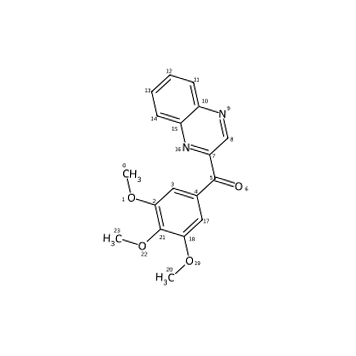 COc1cc(C(=O)c2cnc3ccccc3n2)cc(OC)c1OC